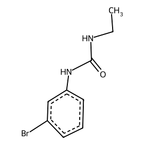 CCNC(=O)Nc1cccc(Br)c1